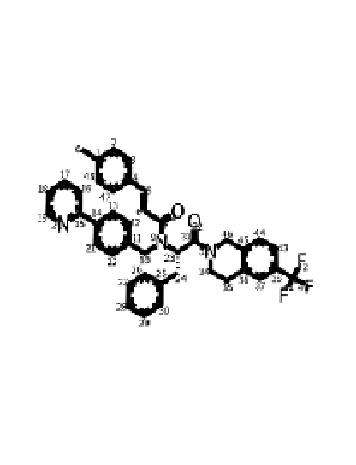 Cc1ccc(/C=C/C(=O)N(Cc2ccc(-c3ccccn3)cc2)[C@@H](Cc2ccccc2)C(=O)N2CCc3cc(C(F)(F)F)ccc3C2)cc1